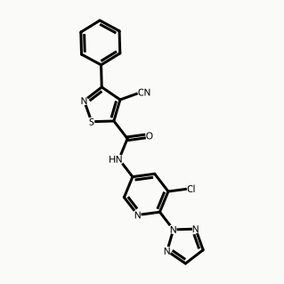 N#Cc1c(-c2ccccc2)nsc1C(=O)Nc1cnc(-n2nccn2)c(Cl)c1